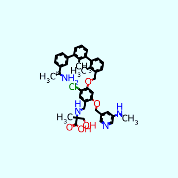 CNc1cncc(COc2cc(OCc3cccc(-c4cccc(-c5cccc([C@H](C)N)c5)c4C)c3C)c(Cl)cc2CNC(C)(CO)C(=O)O)c1